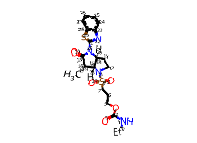 CCNC(=O)OCCCS(=O)(=O)N1CC[C@H]2[C@H]1[C@H](C)C(=O)N2c1nc2ccccc2s1